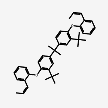 C/C=C\c1ccccc1Oc1ccc(C(C)(C)c2ccc(Oc3ccccc3/C=C\C)c(C(C)(C)C)c2)cc1C(C)(C)C